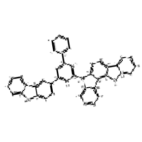 c1ccc(-c2cc(-c3ccc4sc5ccccc5c4c3)nc(-n3c4ccccc4c4c5oc6ccccc6c5ccc43)n2)cc1